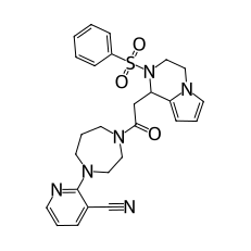 N#Cc1cccnc1N1CCCN(C(=O)CC2c3cccn3CCN2S(=O)(=O)c2ccccc2)CC1